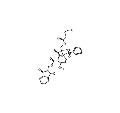 CCCC(=O)OCC1(NC(=O)c2ccccc2)C(=O)N2C(C(=O)OCN3C(=O)c4ccccc4C3=O)C(C)=CS[C@H]21